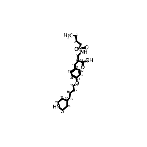 CCCCS(=O)(=O)NCC(Cc1ccc(OCCCCC2CCNCC2)cc1)C(=O)O